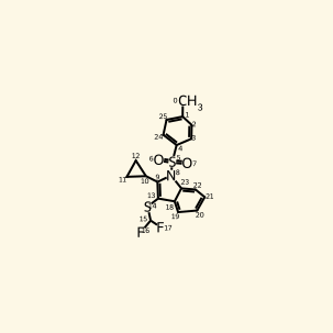 Cc1ccc(S(=O)(=O)n2c(C3CC3)c(SC(F)F)c3ccccc32)cc1